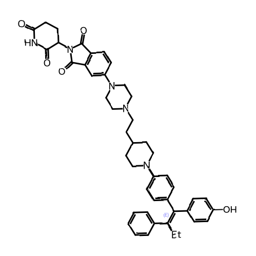 CC/C(=C(\c1ccc(O)cc1)c1ccc(N2CCC(CCN3CCN(c4ccc5c(c4)C(=O)N(C4CCC(=O)NC4=O)C5=O)CC3)CC2)cc1)c1ccccc1